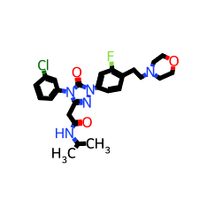 CC(C)NC(=O)Cc1nn(-c2ccc(CCN3CCOCC3)c(F)c2)c(=O)n1-c1cccc(Cl)c1